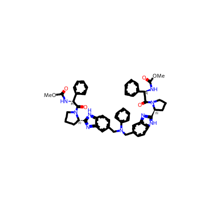 COC(=O)N[C@@H](C(=O)N1CCC[C@H]1c1nc2cc(CN(Cc3ccc4[nH]c([C@@H]5CCCN5C(=O)[C@H](NC(=O)OC)c5ccccc5)nc4c3)c3ccccc3)ccc2[nH]1)c1ccccc1